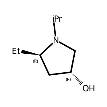 CC[C@@H]1C[C@@H](O)CN1C(C)C